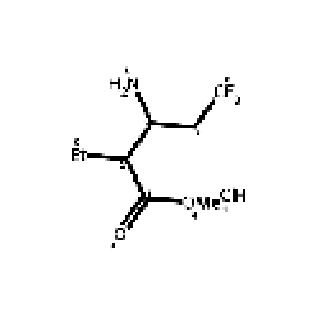 CCC(C(=O)OC)C(N)CC(F)(F)F.Cl